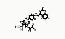 Cc1cc(COc2ccc(S(=O)(=O)NC3(C(=O)NO)CN(C(=O)C(C)C)C3)cc2)c2ccccc2n1